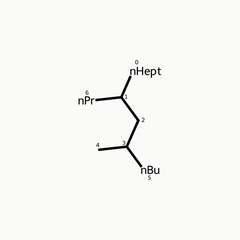 CCCCCCCC([CH]C(C)CCCC)CCC